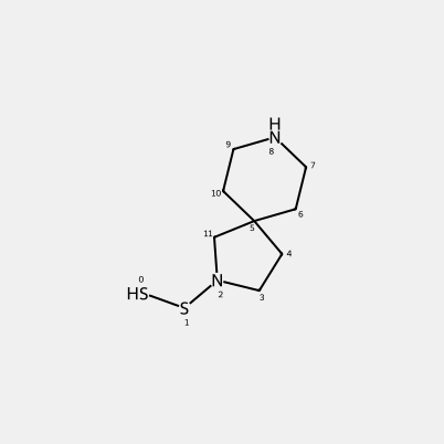 SSN1CCC2(CCNCC2)C1